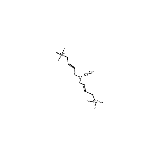 C[N+](C)(C)CC=CCOCC=CC[N+](C)(C)C.[Cl-].[Cl-]